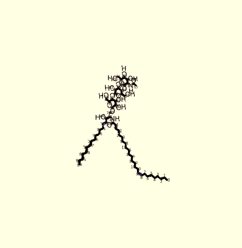 CCCCCCCC/C=C\CCCCCCCCCCCCCCCC(=O)N[C@@H](CO[C@@H]1OC(CO)[C@@H](O[C@@H]2OC(CO)[C@H](O[C@@H]3OC(CO)[C@H](O)[C@H](O)C3NC(C)=O)[C@H](O)C2O)[C@H](O)C1O)[C@H](O)/C=C/CCCCCCCCCCCCC